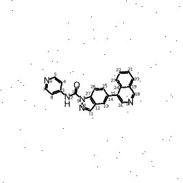 O=C(Nc1ccncc1)n1ncc2cc(-c3cncc4ccccc34)ccc21